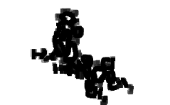 COc1cc(OC)c(NC(=O)N(S)c2ccc(NC(=O)c3ccccc3F)c(OC)c2)cc1Cl